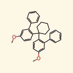 COc1ccc(C2(c3ccc(OC)cc3-c3ccccc3)CCCCC2)c(-c2ccccc2)c1